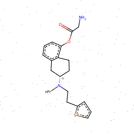 CCCN(CCc1cccs1)[C@H]1CCc2c(cccc2OC(=O)CN)C1